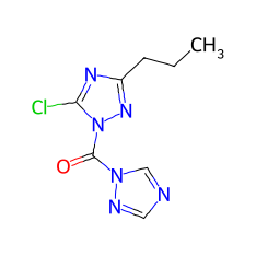 CCCc1nc(Cl)n(C(=O)n2cncn2)n1